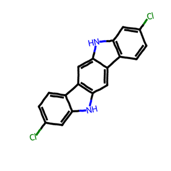 Clc1ccc2c(c1)[nH]c1cc3c(cc12)[nH]c1cc(Cl)ccc13